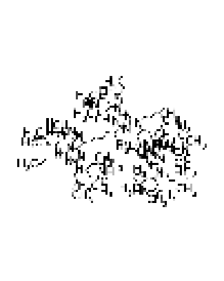 CCCCN(c1nc(CCCCCC(CCCCC(N)c2nc(N(CCCC)C3CC(C)(C)NC(C)(C)C3)nc(N(CCCC)C3CC(C)(C)NC(C)(C)C3)n2)c2nc(N(CCCC)C3CC(C)(C)NC(C)(C)C3)nc(N(CCCC)C3CC(C)(C)NC(C)(C)C3)n2)nc(N(CCCC)C2CC(C)(C)NC(C)(C)C2)n1)C1CC(C)(C)NC(C)(C)C1